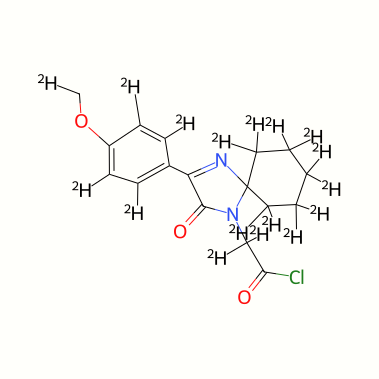 [2H]COc1c([2H])c([2H])c(C2=NC3(N(C([2H])([2H])C(=O)Cl)C2=O)C([2H])([2H])C([2H])([2H])C([2H])([2H])C([2H])([2H])C3([2H])[2H])c([2H])c1[2H]